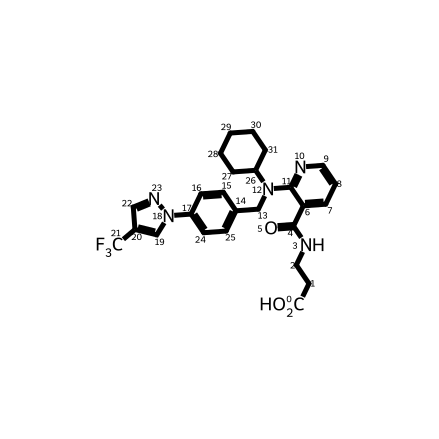 O=C(O)CCNC(=O)c1cccnc1N(Cc1ccc(-n2cc(C(F)(F)F)cn2)cc1)C1CCCCC1